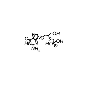 Nc1nc2c(ncn2OCC(CO)SCP(=O)(O)O)c(=O)[nH]1